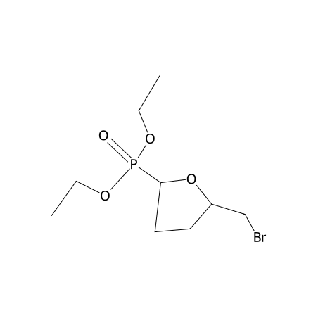 CCOP(=O)(OCC)C1CCC(CBr)O1